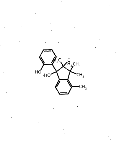 Cc1cccc2c1C(C)(C)C(C)(C)C2(O)c1ccccc1O